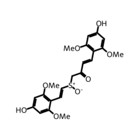 COc1cc(O)cc(OC)c1C=CC(=O)C[S+]([O-])C=Cc1c(OC)cc(O)cc1OC